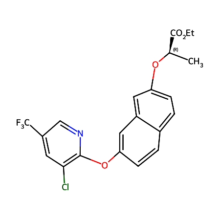 CCOC(=O)[C@@H](C)Oc1ccc2ccc(Oc3ncc(C(F)(F)F)cc3Cl)cc2c1